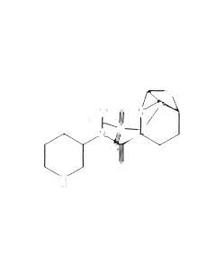 NN(C(=O)[C@@H]1CCC23CN1C(O2)N3OS(=O)(=O)O)C1CCCNC1